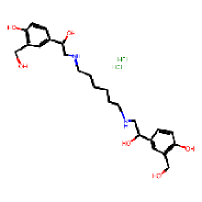 Cl.Cl.OCc1cc(C(O)CNCCCCCCNCC(O)c2ccc(O)c(CO)c2)ccc1O